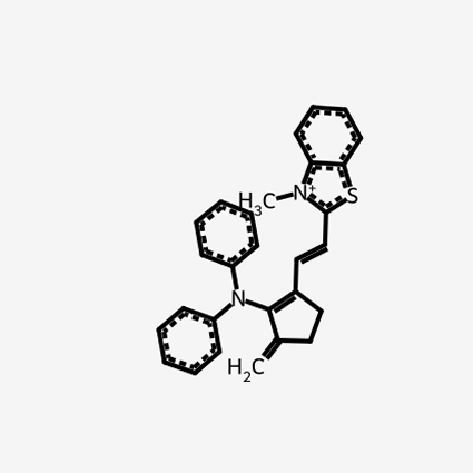 C=C1CCC(/C=C/c2sc3ccccc3[n+]2C)=C1N(c1ccccc1)c1ccccc1